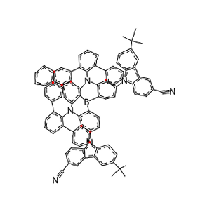 CC(C)(C)c1ccc2c(c1)c1cc(C#N)ccc1n2-c1ccc2c(c1)N(c1c(-c3ccccc3)cccc1-c1ccccc1)c1cc(-c3ccccc3)cc3c1B2c1ccc(-n2c4ccc(C#N)cc4c4cc(C(C)(C)C)ccc42)cc1N3c1c(-c2ccccc2)cccc1-c1ccccc1